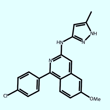 COc1ccc2c(-c3ccc(Cl)cc3)nc(Nc3cc(C)[nH]n3)cc2c1